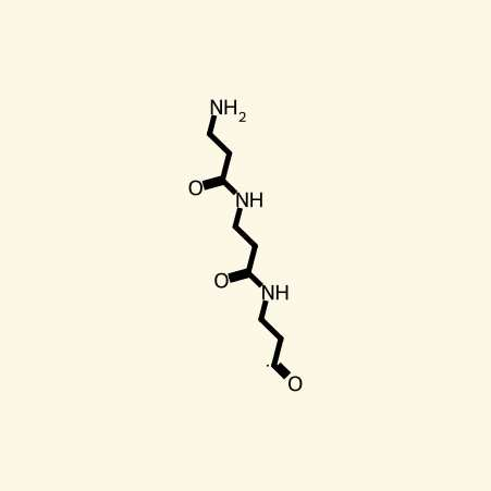 NCCC(=O)NCCC(=O)NCC[C]=O